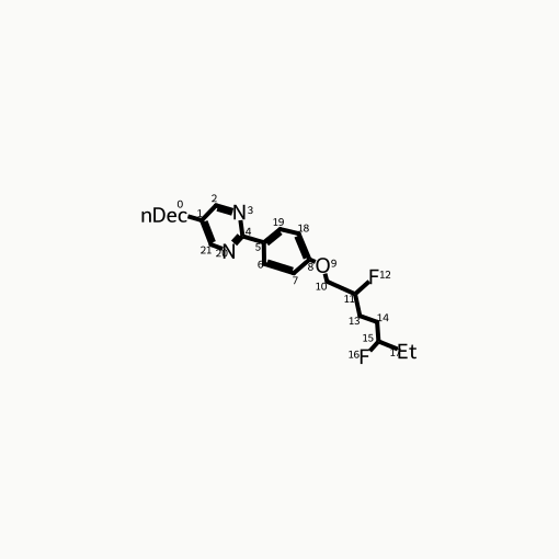 CCCCCCCCCCc1cnc(-c2ccc(OCC(F)CCC(F)CC)cc2)nc1